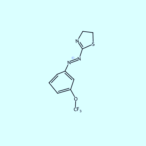 FC(F)(F)Oc1cccc(/N=N/C2=NCCS2)c1